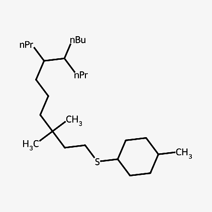 CCCCC(CCC)C(CCC)CCCC(C)(C)CCSC1CCC(C)CC1